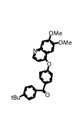 COc1cc2nccc(Oc3ccc(C(=O)c4ccc(C(C)(C)C)cc4)cc3)c2cc1OC